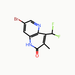 Cc1c(C(F)F)c2ncc(Br)cc2[nH]c1=O